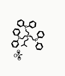 CC(C)CC[P+](CCP(c1ccccc1)c1ccccc1)(CCP(c1ccccc1)c1ccccc1)CCP(c1ccccc1)c1ccccc1.CS(=O)(=O)[O-]